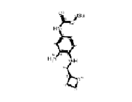 CC(C)(C)OC(=O)Nc1ccc(NCC2CCO2)c(N)c1